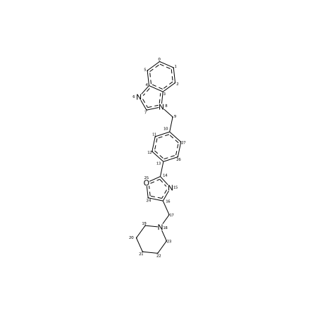 c1ccc2c(c1)ncn2Cc1ccc(-c2nc(CN3CCCCC3)co2)cc1